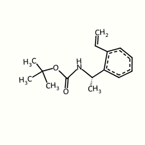 C=Cc1ccccc1[C@H](C)NC(=O)OC(C)(C)C